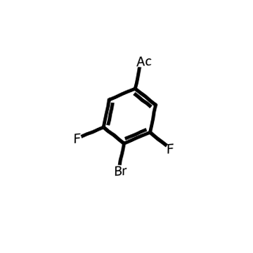 CC(=O)c1cc(F)c(Br)c(F)c1